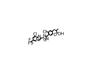 CC(Cc1ccc(-c2noc(-c3cn4cc(C(F)(F)F)cc(Cl)c4n3)n2)c(Cl)c1)C(=O)O